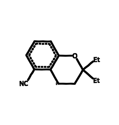 CCC1(CC)C[C]c2c(C#N)cccc2O1